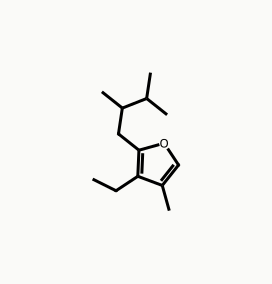 CCc1c(C)coc1CC(C)C(C)C